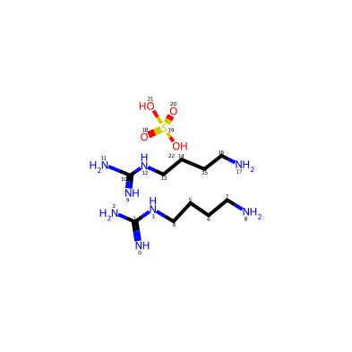 N=C(N)NCCCCN.N=C(N)NCCCCN.O=S(=O)(O)O